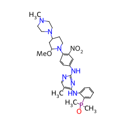 COC1CC(N2CCN(C)CC2)CCN1c1ccc(Nc2ncc(C)c(Nc3ccccc3P(C)(C)=O)n2)cc1[N+](=O)[O-]